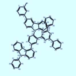 Cc1cccc(-c2ccc3c(c2)c2ccccc2n3-c2ccc(-c3cccc4c3c3ccccc3n4-c3ccccc3)cc2-c2nc(-c3ccccc3)nc(-c3ccccc3)n2)c1